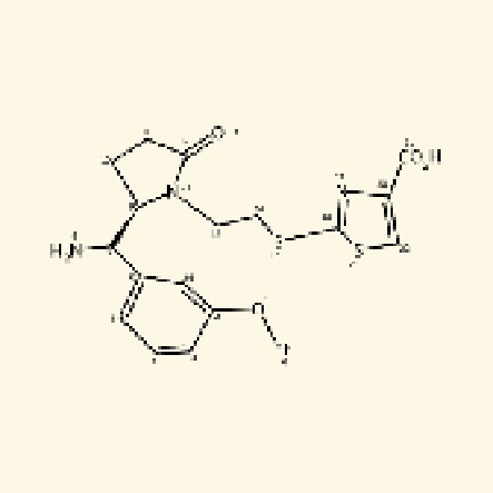 CCOc1cccc(C(N)[C@H]2CCC(=O)N2CCSc2nc(C(=O)O)cs2)c1